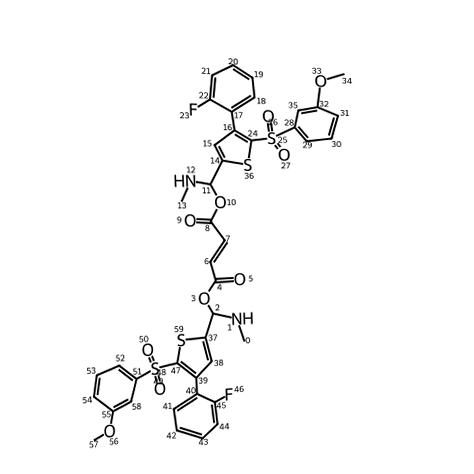 CNC(OC(=O)/C=C/C(=O)OC(NC)c1cc(-c2ccccc2F)c(S(=O)(=O)c2cccc(OC)c2)s1)c1cc(-c2ccccc2F)c(S(=O)(=O)c2cccc(OC)c2)s1